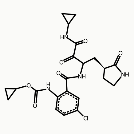 O=C(Nc1ccc(Cl)cc1C(=O)NC(C[C@@H]1CCNC1=O)C(=O)C(=O)NC1CC1)OC1CC1